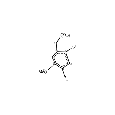 COc1cc(CC(=O)O)c(Br)cc1F